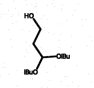 CC(C)COC(CCO)OCC(C)C